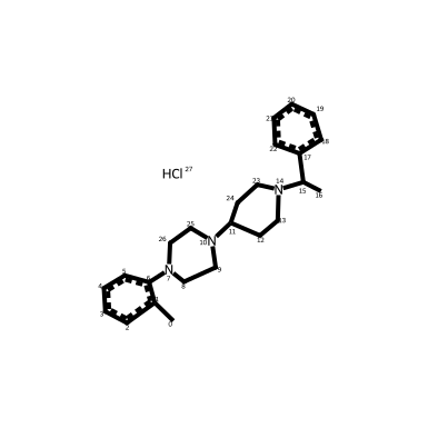 Cc1ccccc1N1CCN(C2CCN(C(C)c3ccccc3)CC2)CC1.Cl